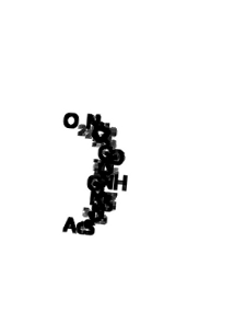 CC(=O)SC1CN(c2nc(C(=O)N[C@@H]3CCN(C(=O)OCc4ccc([N+](=O)[O-])cc4)C3)cs2)C1